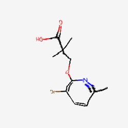 Cc1ccc(Br)c(OCC(C)(C)C(=O)O)n1